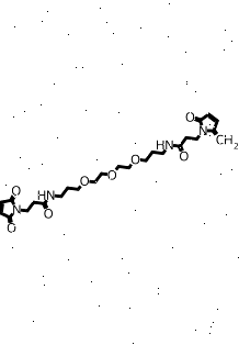 C=C1C=CC(=O)N1CCC(=O)NCCCOCCOCCOCCCNC(=O)CCN1C(=O)C=CC1=O